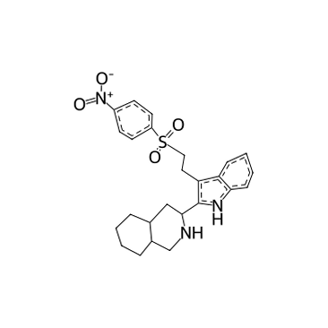 O=[N+]([O-])c1ccc(S(=O)(=O)CCc2c(C3CC4CCCCC4CN3)[nH]c3ccccc23)cc1